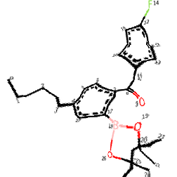 CCCCc1ccc(C(=O)c2ccc(F)cc2)c(B2OC(C)(C)C(C)(C)O2)c1